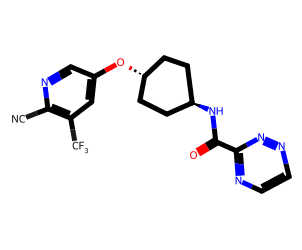 N#Cc1ncc(O[C@H]2CC[C@H](NC(=O)c3nccnn3)CC2)cc1C(F)(F)F